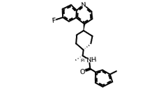 Cc1cccc(C(=O)N[C@H](C)[C@H]2CC[C@H](c3ccnc4ccc(F)cc43)CC2)c1